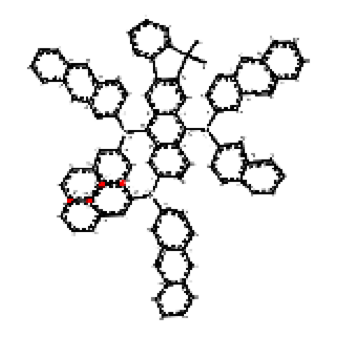 CC1(C)c2ccccc2-c2cc3c(N(c4ccc5ccccc5c4)c4ccc5cc6ccccc6cc5c4)c4cc(N(c5ccc6ccccc6c5)c5ccc6cc7ccccc7cc6c5)ccc4c(N(c4ccc5ccccc5c4)c4ccc5cc6ccccc6cc5c4)c3cc21